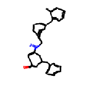 Cc1ccccc1-c1cccc(CNC2=CC(=O)CC(c3ccccc3)C2)c1